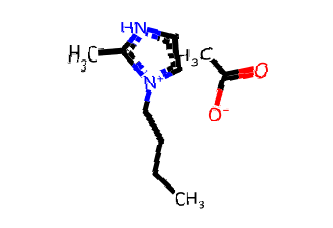 CC(=O)[O-].CCCC[n+]1cc[nH]c1C